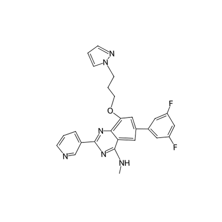 CNc1nc(-c2cccnc2)nc2c(OCCCn3cccn3)cc(-c3cc(F)cc(F)c3)cc12